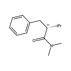 CC(C)[C@@H](Cc1ccccc1)C(=O)N(C)C